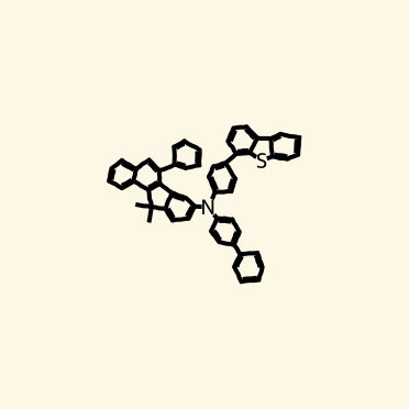 CC1(C)c2ccc(N(c3ccc(-c4ccccc4)cc3)c3ccc(-c4cccc5c4sc4ccccc45)cc3)cc2-c2c(-c3ccccc3)cc3ccccc3c21